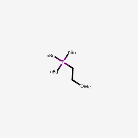 CCCC[P](CCCC)(CCCC)CCOC